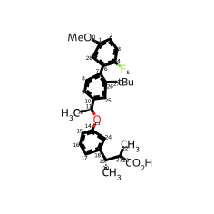 COc1ccc(F)c(-c2ccc([C@H](C)Oc3cccc([C@@H](C)C(C)C(=O)O)c3)cc2C(C)(C)C)c1